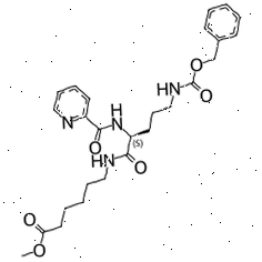 COC(=O)CCCCCNC(=O)[C@H](CCCNC(=O)OCc1ccccc1)NC(=O)c1ccccn1